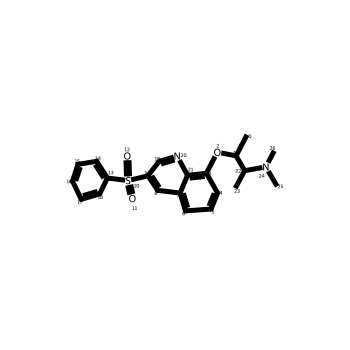 CC(Oc1cccc2cc(S(=O)(=O)c3ccccc3)cnc12)C(C)N(C)C